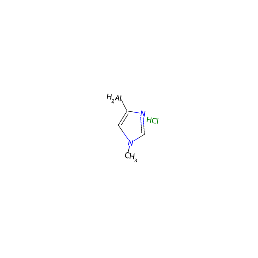 Cl.Cn1cn[c]([AlH2])c1